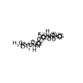 CN(C)CCCOC(=O)Nc1cc(Oc2ccc(NC(=O)N3CCN(c4ccccc4)C3=O)cc2F)ccn1